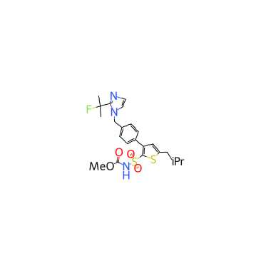 COC(=O)NS(=O)(=O)c1sc(CC(C)C)cc1-c1ccc(Cn2ccnc2C(C)(C)F)cc1